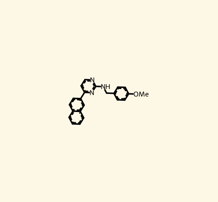 COc1ccc(CNc2nccc(-c3ccc4ccccc4c3)n2)cc1